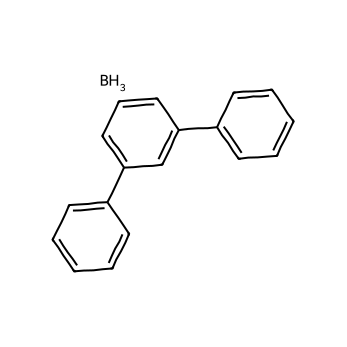 B.c1ccc(-c2cccc(-c3ccccc3)c2)cc1